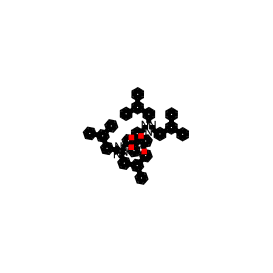 c1ccc(-c2cc(-c3ccccc3)cc(-c3cccc(-c4nc(-c5cccc(-c6cc(-c7ccccc7)cc(-c7ccccc7)c6)c5)nc(-c5cccc(C6(c7cccc(-c8nc(-c9cccc(-c%10cc(-c%11ccccc%11)cc(-c%11ccccc%11)c%10)c9)nc(-c9cccc(-c%10cc(-c%11ccccc%11)cc(-c%11ccccc%11)c%10)c9)n8)c7)c7ccccc7Oc7ccccc76)c5)n4)c3)c2)cc1